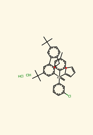 Cl.Cl.[CH2]=[Zr]([C]1=CC=CC1)([c]1ccc(C)cc1)([c]1cccc(Cl)c1)[c]1cc(C(C)(C)C)cc2c1Cc1ccc(C(C)(C)C)cc1-2